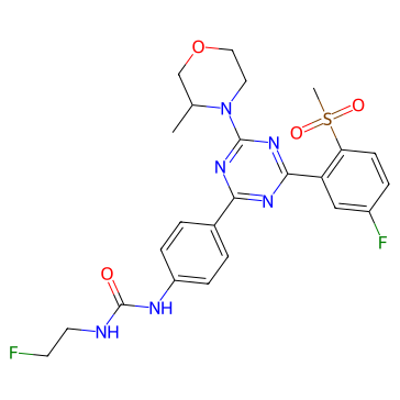 CC1COCCN1c1nc(-c2ccc(NC(=O)NCCF)cc2)nc(-c2cc(F)ccc2S(C)(=O)=O)n1